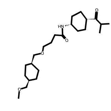 COC[C@H]1CC[C@@H](COCCCC(=O)N[C@H]2CC[C@@H](C(=O)C(C)C)CC2)CC1